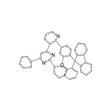 C1=CCC2Oc3cc(-c4ncccc4-c4cc(-c5ccccc5)nc(-c5ccccc5)n4)ccc3C3(C2=C1)c1ccccc1-c1ccccc13